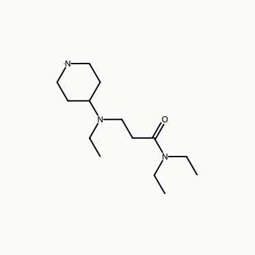 CCN(CC)C(=O)CCN(CC)C1CC[N]CC1